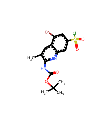 Cc1cc2c(Br)cc(S(=O)(=O)Cl)cc2nc1NC(=O)OC(C)(C)C